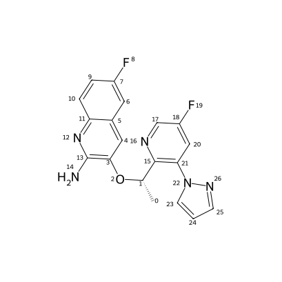 C[C@H](Oc1cc2cc(F)ccc2nc1N)c1ncc(F)cc1-n1cccn1